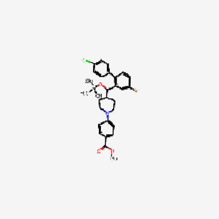 CC(C)(C)OC(=O)c1ccc(N2CCC(C(O[Si](C)(C)C(C)(C)C)c3cc(Br)ccc3-c3ccc(Cl)cc3)CC2)cc1